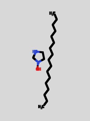 CCCCCCCCCCCCCCCCC.ON1CCNC1